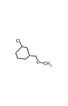 COCC1CCCC(Cl)C1